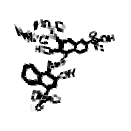 O=S(=O)(O)c1ccc2c(N=Nc3c(O)cc(S(=O)(=O)O)c4ccccc34)c(O)c(S(=O)(=O)O)cc2c1.[Na].[Na].[Na]